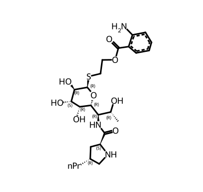 CCC[C@H]1CN[C@H](C(=O)N[C@@H]([C@H]2O[C@H](SCCOC(=O)c3ccccc3N)[C@H](O)[C@@H](O)[C@H]2O)[C@@H](C)O)C1